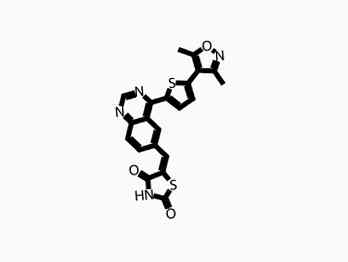 Cc1noc(C)c1-c1ccc(-c2ncnc3ccc(/C=C4/SC(=O)NC4=O)cc23)s1